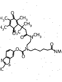 CNC(=O)CCCCCN(CCN(C)C(=O)CC(C)(C)C1=C(C)C(=O)C(C)=C(C)C1=O)C(=O)Oc1ccc2nc(C#N)sc2c1